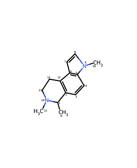 CC1c2ccc3c(ccn3C)c2CCN1C